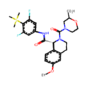 CCOc1ccc2c(c1)CCN(C(=O)N1CCOC(C(=O)O)C1)[C@H]2C(=O)Nc1cc(F)c(S(C)(C)C)c(F)c1